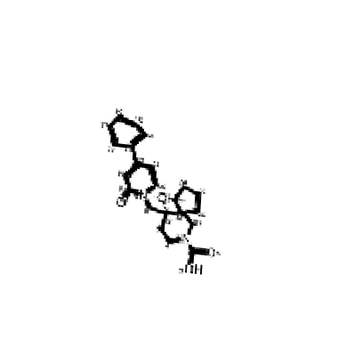 O=C(O)N1CC[C@@](O)(Cn2ccc(-c3ccccc3)cc2=O)C2(CCCC2)C1